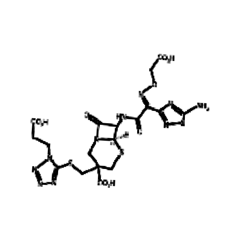 Nc1nc(C(=NOCC(=O)O)C(=O)NC2C(=O)N3CC(CSc4nnnn4CCC(=O)O)(C(=O)O)CS[C@H]23)ns1